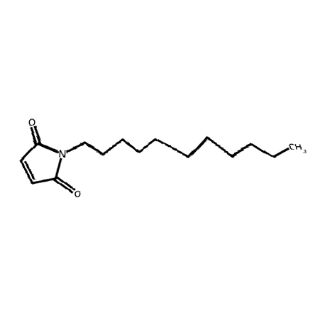 CCCCCCCCCCCN1C(=O)C=CC1=O